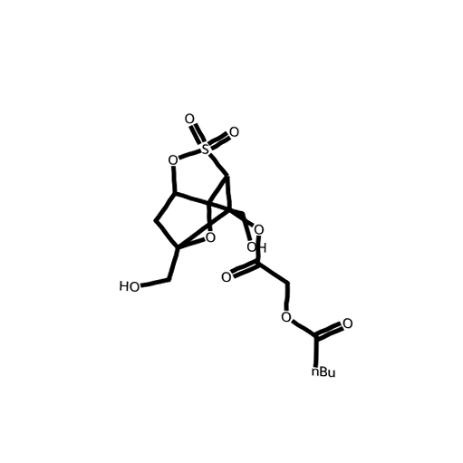 CCCCC(=O)OCC(=O)OC1C2C3(CO)OC1(CO)CC3OS2(=O)=O